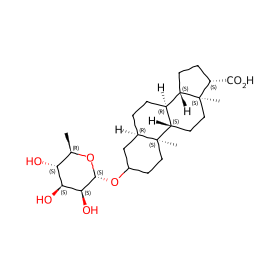 C[C@H]1O[C@H](OC2CC[C@@]3(C)[C@H](CC[C@@H]4[C@@H]3CC[C@]3(C)[C@@H](C(=O)O)CC[C@@H]43)C2)[C@@H](O)[C@@H](O)[C@@H]1O